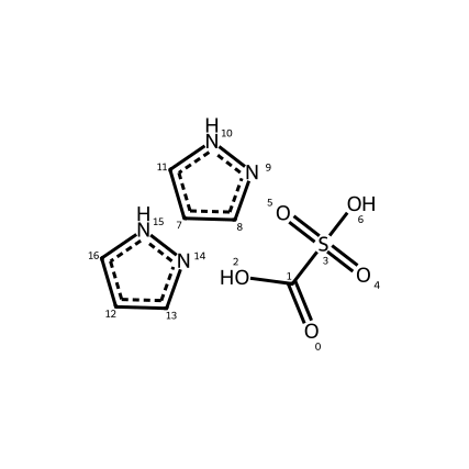 O=C(O)S(=O)(=O)O.c1cn[nH]c1.c1cn[nH]c1